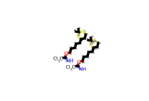 CC1(C)SCCC(CCCCCOC(=N)C(Cl)(Cl)Cl)S1.CC1(C)SCCC(CCCCCOC(=N)C(Cl)(Cl)Cl)S1